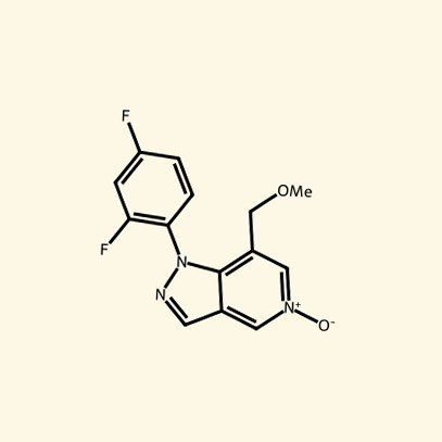 COCc1c[n+]([O-])cc2cnn(-c3ccc(F)cc3F)c12